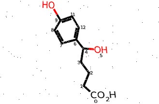 O=C(O)CCCC(O)c1ccc(O)cc1